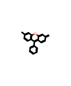 C=c1ccc2c(c1)Oc1cc(C)ccc1C=2c1ccccc1